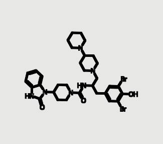 O=C(NC(Cc1cc(Br)c(O)c(Br)c1)CN1CCC(N2CCCCC2)CC1)N1CCC(n2c(=O)[nH]c3ccccc32)CC1